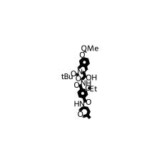 CCOc1cc(C(=O)NC2CCC(C)COC2)ccc1C(=O)NC[C@@H](O)[C@@H]1Cc2ccc(OCOC)cc2CN1C(=O)OC(C)(C)C